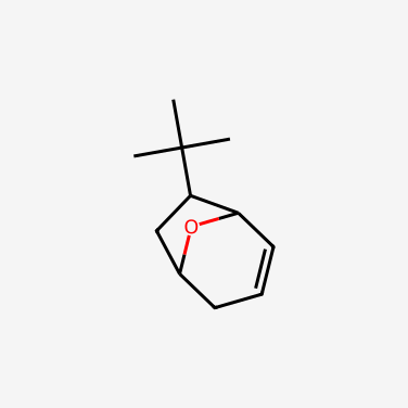 CC(C)(C)C1CC2CC=CC1O2